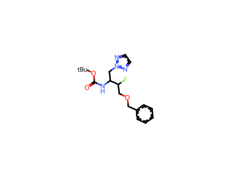 CC(C)(C)OC(=O)NC(Cn1nccn1)C(F)COCc1ccccc1